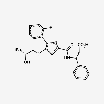 CC(C)(C)[C@@H](O)COc1cc(C(=O)N[C@@H](CC(=O)O)c2ccccc2)nn1-c1ccccc1F